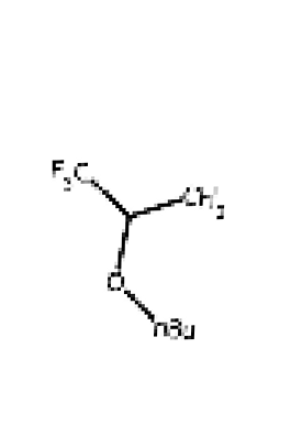 CCCCOC(C)C(F)(F)F